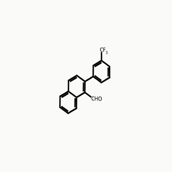 O=Cc1c(-c2cccc(C(F)(F)F)c2)ccc2ccccc12